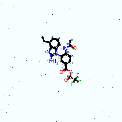 CCc1cccc2c1nc(N)n2-c1cc(C(=O)OC(=O)C(F)(F)F)ccc1NC(C)=O